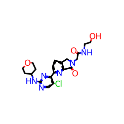 O=C(CN1Cc2ccc(-c3nc(NC4CCOCC4)ncc3Cl)nc2C1=O)NCCO